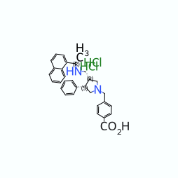 C[C@@H](NC[C@@H]1CN(Cc2ccc(C(=O)O)cc2)C[C@@H]1c1ccccc1)c1cccc2ccccc12.Cl.Cl